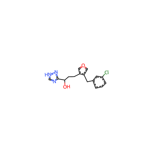 OC(CCc1cocc1Cc1cccc(Cl)c1)c1nc[nH]n1